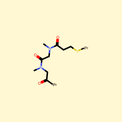 CC(C)SCCC(=O)N(C)CC(=O)N(C)CC(=O)C(C)C